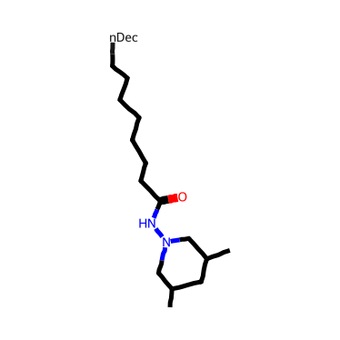 CCCCCCCCCCCCCCCCCC(=O)NN1CC(C)CC(C)C1